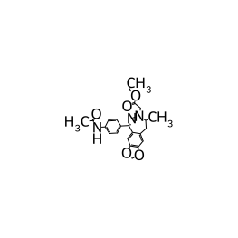 CCOC(=O)CN1N=C(c2ccc(NC(C)=O)cc2)c2cc3c(cc2CC1C)OCO3